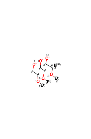 CCOCC[O-].CCOCC[O-].CCOCC[O-].[Bi+3]